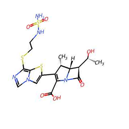 C[C@@H](O)[C@H]1C(=O)N2C(C(=O)O)=C(c3cn4cnc(SCCNS(N)(=O)=O)c4s3)[C@H](C)[C@H]12